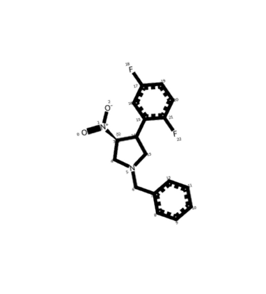 O=[N+]([O-])[C@@H]1CN(Cc2ccccc2)CC1c1cc(F)ccc1F